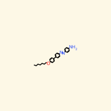 CCCCCCCOc1ccc(-c2ccc(N=Nc3ccc(N)cc3)cc2)cc1